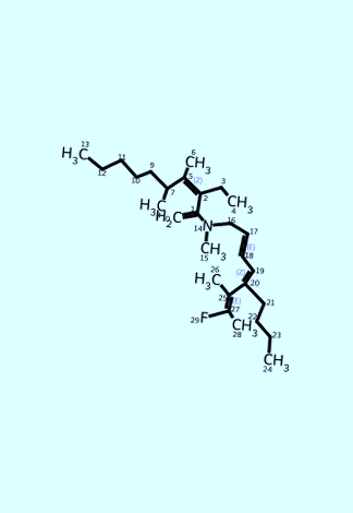 C=C(/C(CC)=C(/C)C(C)CCCCC)N(C)C/C=C/C=C(CCCC)\C(C)=C(/C)F